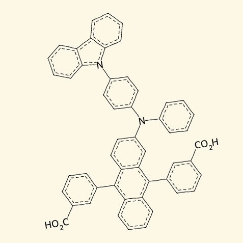 O=C(O)c1cccc(-c2c3ccccc3c(-c3cccc(C(=O)O)c3)c3cc(N(c4ccccc4)c4ccc(-n5c6ccccc6c6ccccc65)cc4)ccc23)c1